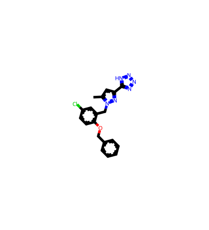 Cc1cc(-c2nnn[nH]2)nn1Cc1cc(Cl)ccc1OCc1ccccc1